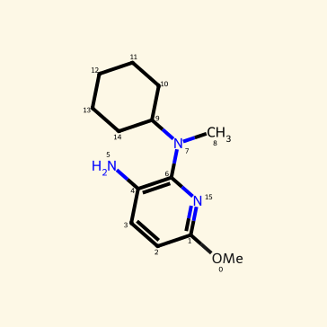 COc1ccc(N)c(N(C)C2CCCCC2)n1